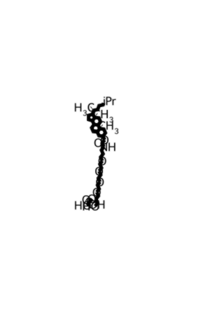 CC(C)CCC[C@@H](C)C1CCC2C3CC=C4CC(OC(=O)NCCCOCCOCCOCCOCC(CO)OP(=O)(O)O)CC[C@]4(C)C3CC[C@@]21C